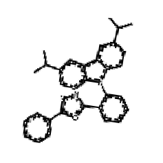 CC(C)c1ccc2c(c1)c1cc(C(C)C)ccc1n2-c1ccccc1-c1nnc(-c2ccccc2)o1